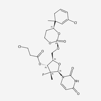 CC1([C@@H]2CCO[P@](=O)(OC[C@H]3O[C@@H](n4ccc(=O)[nH]c4=O)[C@](C)(F)[C@@H]3OC(=O)CCCl)O2)C=C(Cl)C=CC1